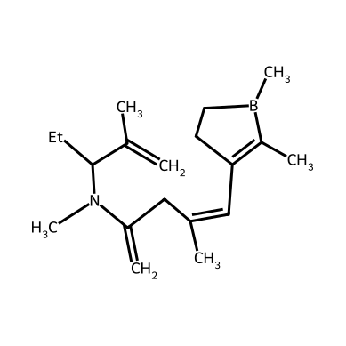 C=C(C)C(CC)N(C)C(=C)C/C(C)=C\C1=C(C)B(C)CC1